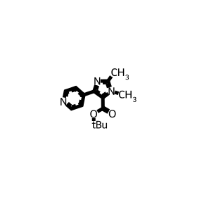 Cc1nc(-c2ccncc2)c(C(=O)OC(C)(C)C)n1C